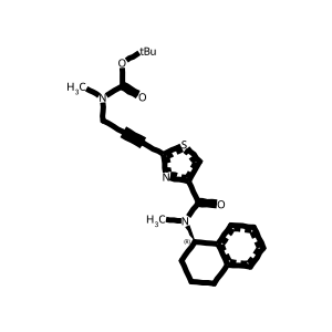 CN(CC#Cc1nc(C(=O)N(C)[C@@H]2CCCc3ccccc32)cs1)C(=O)OC(C)(C)C